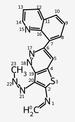 C=Nc1sc2cc(-c3cccc4cccnc34)nnc2c1/N=N\C